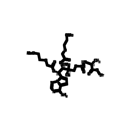 COCCOCC(=O)O[C@@H](c1ccc2c(N)ncnn12)[C@H](OC(=O)COCCOC)[C@@](C#N)(CO[PH](=O)N[C@@H](C)C(=O)OC(C)C)OC